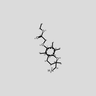 CCOC(=O)COc1c(C)c(C)c2c(c1C)CCC(C)(CN)O2